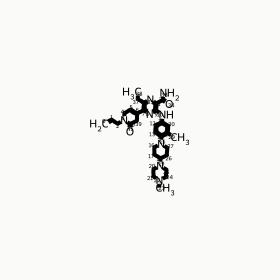 C=CCN1CC=C(c2nc(Nc3ccc(N4CCC(N5CCN(C)CC5)CC4)c(C)c3)c(C(N)=O)nc2CC)CC1=O